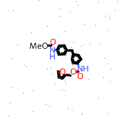 COC(=O)Nc1ccc(Cc2ccc(NC(=O)OCc3ccco3)cc2)cc1